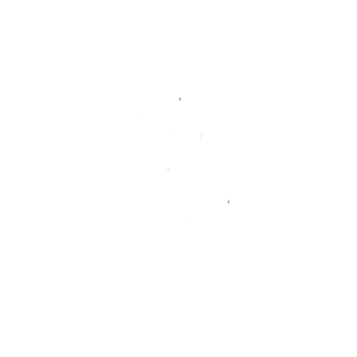 CCCC(=O)OCC(CO)(COC(=O)CCC)COC(=O)CCC